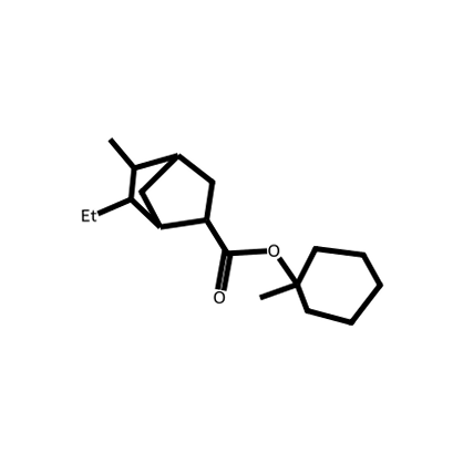 CCC1C(C)C2CC(C(=O)OC3(C)CCCCC3)C1C2